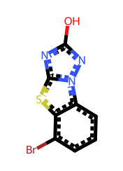 Oc1nc2sc3c(Br)cccc3n2n1